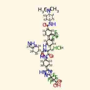 CN(C)C1CCC(NC(=O)c2ccc(-c3ccc(C[C@H](NC(=O)[C@H]4CC[C@H](CN)CC4)C(=O)Nc4ccc(-c5nc(C(F)(F)C(F)(F)C(=O)O)n[nH]5)cc4)cc3)c(C(F)(F)F)c2)CC1.Cl